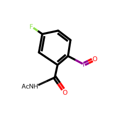 CC(=O)NC(=O)c1cc(F)ccc1I=O